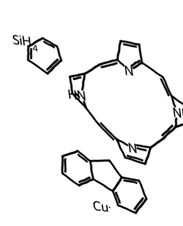 C1=Cc2cc3ccc(cc4nc(cc5ccc(cc1n2)[nH]5)C=C4)[nH]3.[Cu].[SiH4].c1ccc2c(c1)Cc1ccccc1-2.c1ccccc1